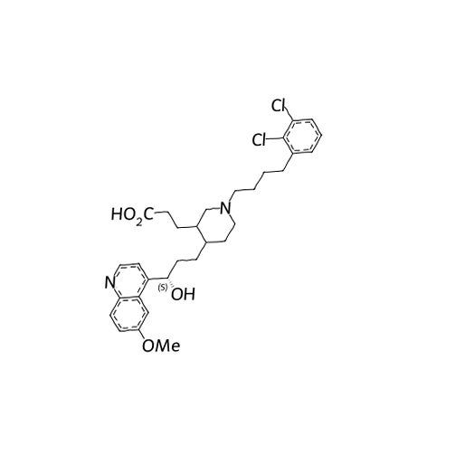 COc1ccc2nccc([C@@H](O)CCC3CCN(CCCCc4cccc(Cl)c4Cl)CC3CCC(=O)O)c2c1